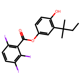 CCC(C)(C)c1cc(OC(=O)c2c(I)ccc(I)c2I)ccc1O